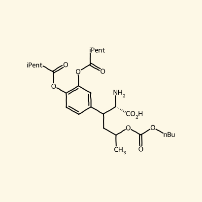 CCCCOC(=O)OC(C)CC(c1ccc(OC(=O)C(C)CCC)c(OC(=O)C(C)CCC)c1)[C@H](N)C(=O)O